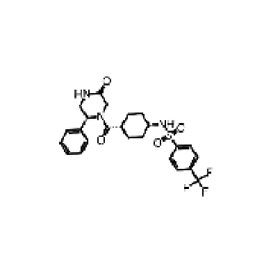 O=C1CN(C(=O)[C@H]2CC[C@H](NS(=O)(=O)c3ccc(C(F)(F)F)cc3)CC2)[C@@H](c2ccccc2)CN1